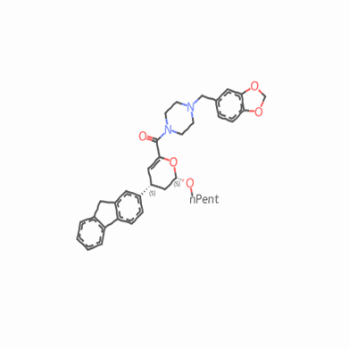 CCCCCO[C@@H]1C[C@H](c2ccc3c(c2)Cc2ccccc2-3)C=C(C(=O)N2CCN(Cc3ccc4c(c3)OCO4)CC2)O1